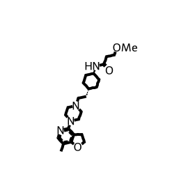 COCCC(=O)N[C@H]1CC[C@H](CCN2CCN(c3ncc(C)c4c3CCO4)CC2)CC1